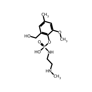 CNCCNP(=O)(O)Oc1c(CO)cc(C)cc1OC